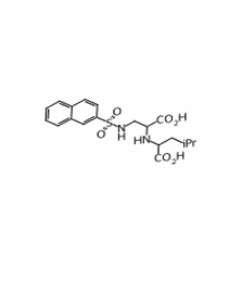 CC(C)CC(NC(CNS(=O)(=O)c1ccc2ccccc2c1)C(=O)O)C(=O)O